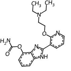 CCN(CC)CCOc1ncccc1-c1nc2c(OC(N)=O)cccc2[nH]1